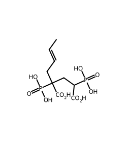 CC=CCC(CC(C(=O)O)P(=O)(O)O)(C(=O)O)P(=O)(O)O